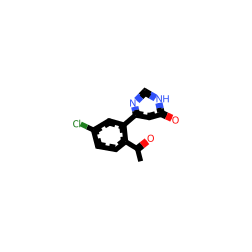 CC(=O)c1ccc(Cl)cc1-c1cc(=O)[nH]cn1